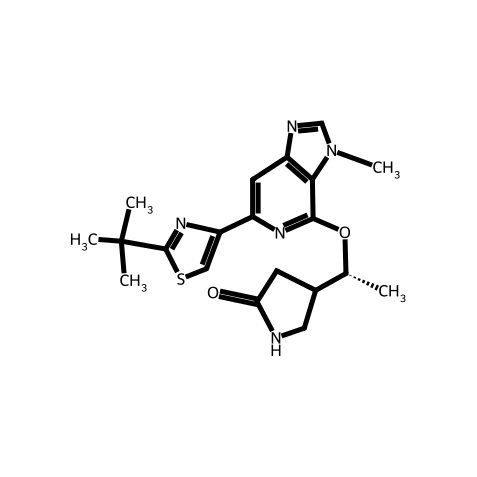 C[C@@H](Oc1nc(-c2csc(C(C)(C)C)n2)cc2ncn(C)c12)C1CNC(=O)C1